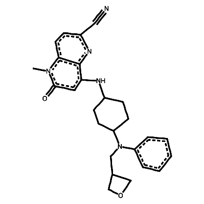 Cn1c(=O)cc(NC2CCC(N(CC3COC3)c3ccccc3)CC2)c2nc(C#N)ccc21